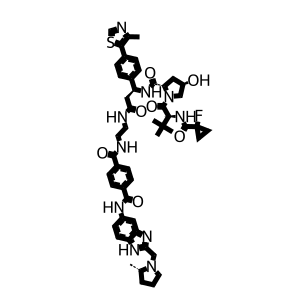 Cc1ncsc1-c1ccc([C@H](CC(=O)NCCNC(=O)c2ccc(C(=O)Nc3ccc4[nH]c(CN5CCC[C@@H]5C)nc4c3)cc2)NC(=O)[C@@H]2C[C@@H](O)CN2C(=O)[C@@H](NC(=O)C2(F)CC2)C(C)(C)C)cc1